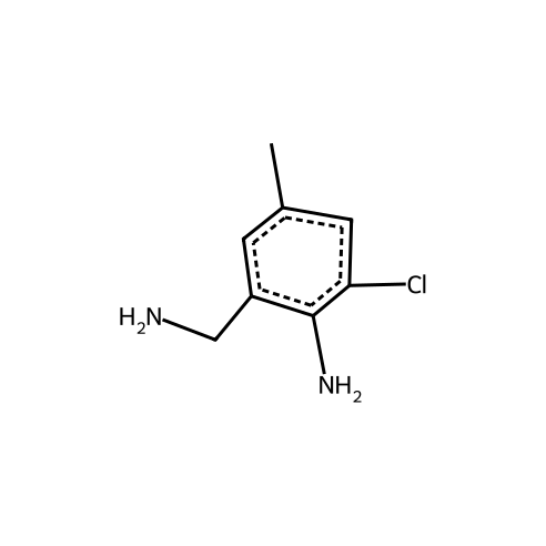 Cc1cc(Cl)c(N)c(CN)c1